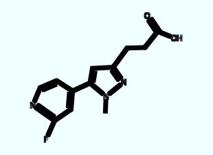 Cn1nc(CCC(=O)O)cc1-c1ccnc(F)c1